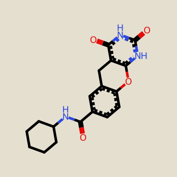 O=C(NC1CCCCC1)c1ccc2c(c1)Cc1c([nH]c(=O)[nH]c1=O)O2